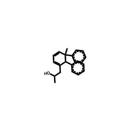 CC(O)CC1=CC=CC(C)(c2ccccc2)C1c1ccccc1